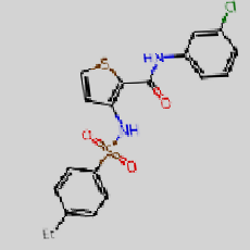 CCc1ccc(S(=O)(=O)Nc2ccsc2C(=O)Nc2cccc(Cl)c2)cc1